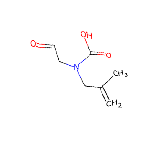 C=C(C)CN(CC=O)C(=O)O